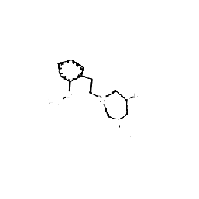 COc1ccccc1CCN1C[C@H](N)C[C@H](N)C1